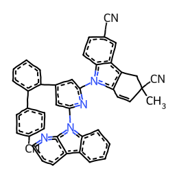 CC1(C#N)C=Cc2c(c3cc(C#N)ccc3n2-c2cc(-c3ccccc3-c3ccc(C#N)cc3)cc(-n3c4ccccc4c4cccnc43)n2)C1